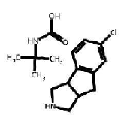 CC(C)(C)NC(=O)O.Clc1ccc2c(c1)CC1CNCC21